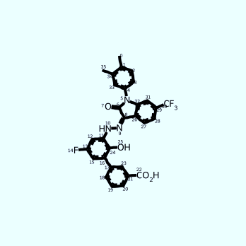 Cc1ccc(N2C(=O)C(=NNc3cc(F)cc(-c4cccc(C(=O)O)c4)c3O)c3ccc(C(F)(F)F)cc32)cc1C